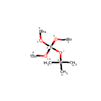 CC(C)(C)[O][Ti]([O]C(C)(C)C)([O]C(C)(C)C)[O][Si](C)(C)C